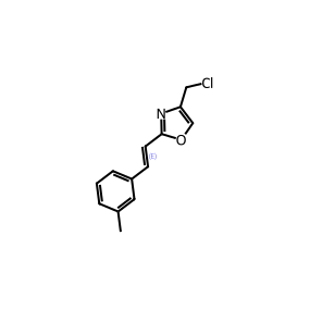 Cc1cccc(/C=C/c2nc(CCl)co2)c1